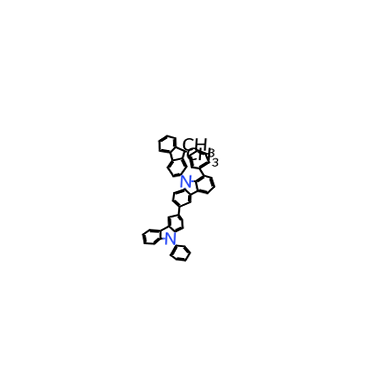 CC1(C)c2ccccc2-c2ccc(-n3c4ccc(-c5ccc6c(c5)c5ccccc5n6-c5ccccc5)cc4c4cccc(-c5ccccc5)c43)cc21